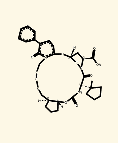 CC1([C@@H]2NC(=O)O[C@@H]3CCC[C@H]3CCCCCn3c(ccc(-c4ccccc4)c3=O)O[C@@H]3C[C@@H](C(=O)O)N(C3)C2=O)CCCC1